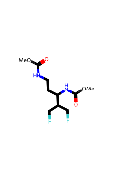 COC(=O)NCCC(NC(=O)OC)C(CF)CF